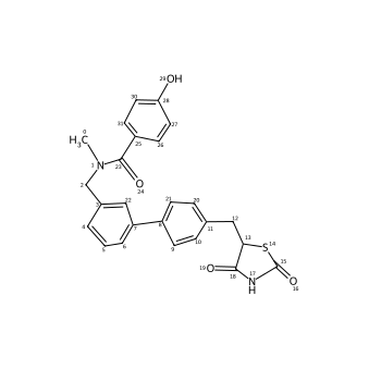 CN(Cc1cccc(-c2ccc(CC3SC(=O)NC3=O)cc2)c1)C(=O)c1ccc(O)cc1